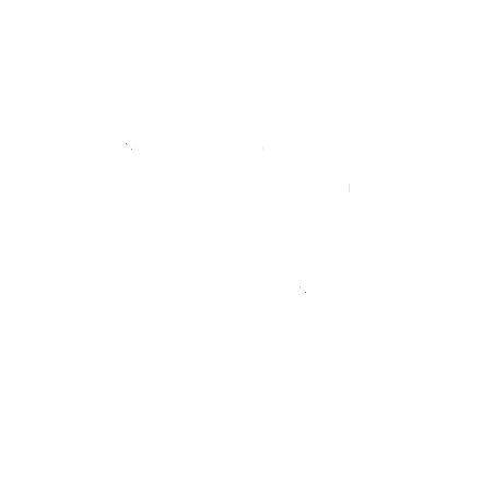 Cc1nc2sc3c(c2c(-c2ccc(C#N)cc2)c1C(OC(C)(C)C)C(=O)O)CCCC3